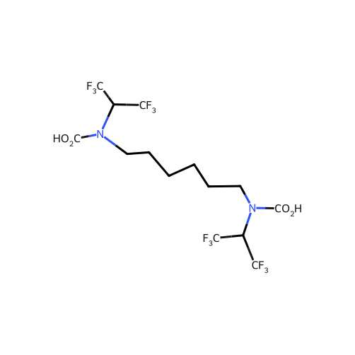 O=C(O)N(CCCCCCN(C(=O)O)C(C(F)(F)F)C(F)(F)F)C(C(F)(F)F)C(F)(F)F